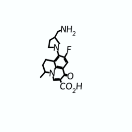 CC1CCc2c(N3CCC(CN)C3)c(F)cc3c(=O)c(C(=O)O)cn1c23